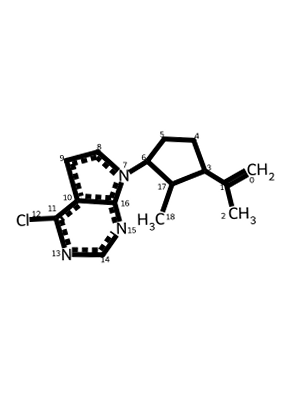 C=C(C)C1CCC(n2ccc3c(Cl)ncnc32)C1C